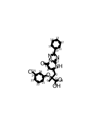 CC(Cc1cc(=O)n2nc(-c3ccccc3)nc2[nH]1)(Oc1cccc(Cl)c1)C(=O)O